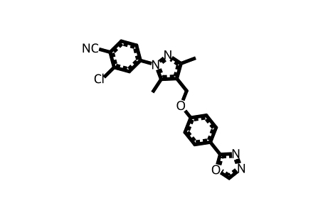 Cc1nn(-c2ccc(C#N)c(Cl)c2)c(C)c1COc1ccc(-c2nnco2)cc1